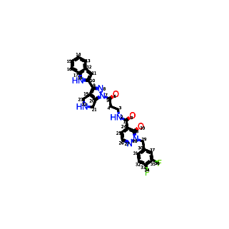 O=C(NCCC(=O)n1nc(-c2cc3ccccc3[nH]2)c2c1CNC2)c1ccnn(Cc2ccc(F)c(F)c2)c1=O